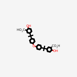 CC(C)(c1ccc(Oc2ccc(C(C)(C)c3ccc(O)c(C(=O)O)c3)cc2)cc1)c1ccc(O)c(C(=O)O)c1